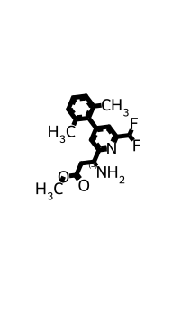 COC(=O)C[C@H](N)c1cc(-c2c(C)cccc2C)cc(C(F)F)n1